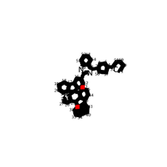 c1ccc(-c2ccc(-c3nc(-c4ccc5c(c4)-c4ccccc4C54c5ccccc5C5(c6ccccc6)c6ccccc6-c6cccc4c65)nc4ccccc34)cc2)cc1